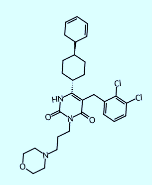 O=c1[nH]c([C@H]2CC[C@H](C3C=CC=CC3)CC2)c(Cc2cccc(Cl)c2Cl)c(=O)n1CCCN1CCOCC1